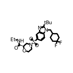 CCNC(=O)[C@H]1CN(S(=O)(=O)c2ccc3c(c2)nc(C(C)(C)C)n3CC2CCC(F)(F)CC2)CCO1